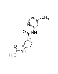 CC(=O)N[C@@H]1CC[C@H](C(=O)Nc2cc(C)ccn2)C1